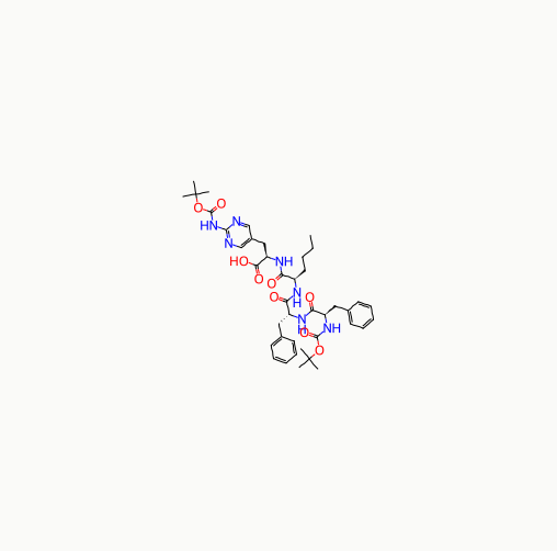 CCCC[C@@H](NC(=O)[C@@H](Cc1ccccc1)NC(=O)[C@@H](Cc1ccccc1)NC(=O)OC(C)(C)C)C(=O)N[C@H](Cc1cnc(NC(=O)OC(C)(C)C)nc1)C(=O)O